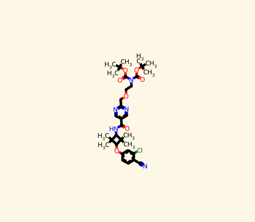 CC(C)(C)OC(=O)N(CCOCc1ncc(C(=O)NC2C(C)(C)C(Oc3ccc(C#N)c(Cl)c3)C2(C)C)cn1)C(=O)OC(C)(C)C